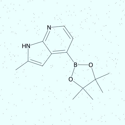 Cc1cc2c(B3OC(C)(C)C(C)(C)O3)ccnc2[nH]1